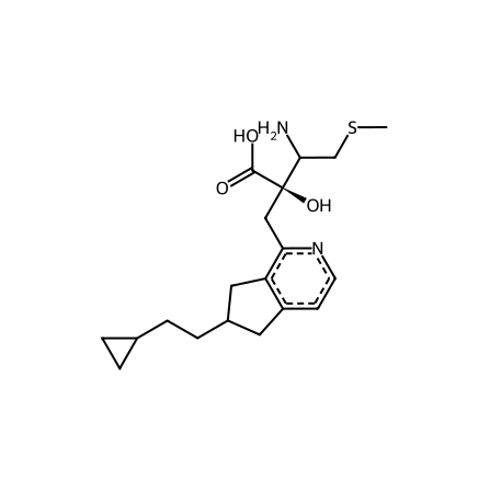 CSCC(N)[C@](O)(Cc1nccc2c1CC(CCC1CC1)C2)C(=O)O